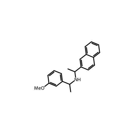 COc1cccc(C(C)NC(C)c2ccc3ccccc3c2)c1